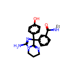 CCNC(=O)c1cccc(C2(c3ccc(O)cc3)N=C(N)N3CCCN=C32)c1